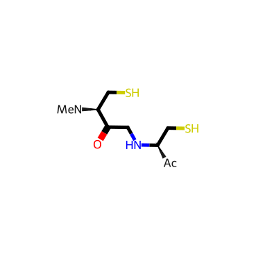 CN[C@@H](CS)C(=O)CN[C@@H](CS)C(C)=O